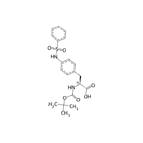 CC(C)(C)OC(=O)N[C@@H](Cc1ccc(NS(=O)(=O)c2ccccc2)cc1)C(=O)O